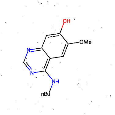 CCCCNc1ncnc2cc(O)c(OC)cc12